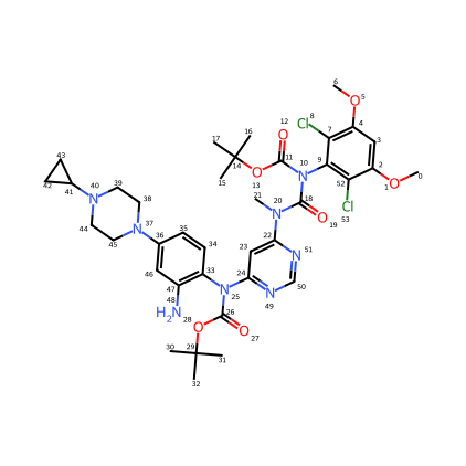 COc1cc(OC)c(Cl)c(N(C(=O)OC(C)(C)C)C(=O)N(C)c2cc(N(C(=O)OC(C)(C)C)c3ccc(N4CCN(C5CC5)CC4)cc3N)ncn2)c1Cl